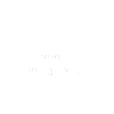 CCCCNC(=NC(C)C)NC(=N)N.Cl